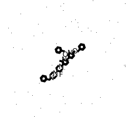 Cc1nc(-c2ccc(OCc3ccccc3)nc2OCc2ccccc2)ccc1N1CC[C@H](N2CCN(Cc3ccccc3)CC2)[C@@H](F)C1